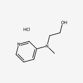 CN(CCO)c1cccnc1.Cl